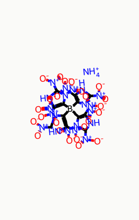 O=[N+]([O-])C1=C([B-](C2=C([N+](=O)[O-])NC([N+](=O)[O-])N2[N+](=O)[O-])(C2=C([N+](=O)[O-])NC([N+](=O)[O-])N2[N+](=O)[O-])C2=C([N+](=O)[O-])NC([N+](=O)[O-])N2[N+](=O)[O-])N([N+](=O)[O-])C([N+](=O)[O-])N1.[NH4+]